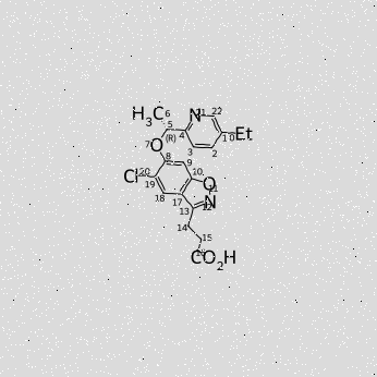 CCc1ccc([C@@H](C)Oc2cc3onc(CCC(=O)O)c3cc2Cl)nc1